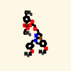 CCOS(=O)(=O)c1ccc(C)cc1OCCOCc1csc(N(Cc2cccc(OC)c2)Cc2cccc(OC)c2)n1